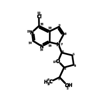 CC(O)C1CCC(n2ccc3c(Cl)ncnc32)O1